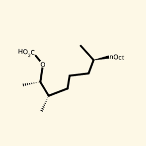 CCCCCCCC[C@H](C)CCC[C@H](C)[C@H](C)OC(=O)O